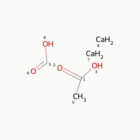 CC(=O)O.O=CO.[CaH2].[CaH2]